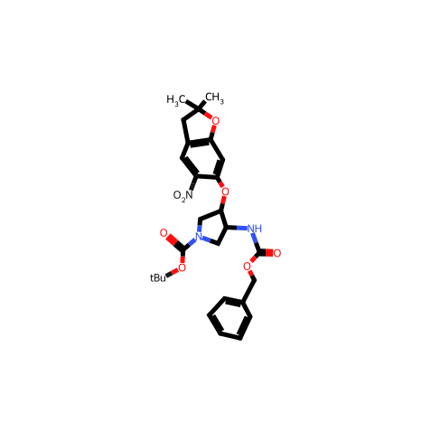 CC(C)(C)OC(=O)N1CC(NC(=O)OCc2ccccc2)C(Oc2cc3c(cc2[N+](=O)[O-])CC(C)(C)O3)C1